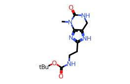 CN1C(=O)NCc2[nH]c(CCNC(=O)OC(C)(C)C)nc21